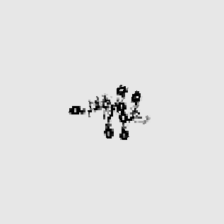 CC(C)(C)OC(=O)N[C@@H](C[C@@H](O)CNC(=O)OCc1ccccc1)C(=O)N[C@@H](Cc1cc(-c2ccc(OCc3ccccc3)c(C[C@H](NC(=O)OCc3ccccc3)C(=O)O)c2)ccc1OCc1ccccc1)C(=O)NCC(=O)OCc1ccccc1